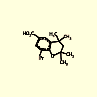 CC(C)c1cc(C(=O)O)cc2c1OC(C)(C)CC2(C)C